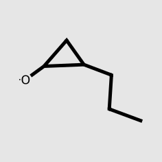 CCCC1CC1[O]